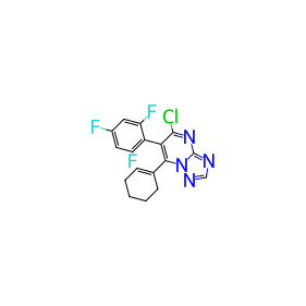 Fc1cc(F)c(-c2c(Cl)nc3ncnn3c2C2=CCCCC2)c(F)c1